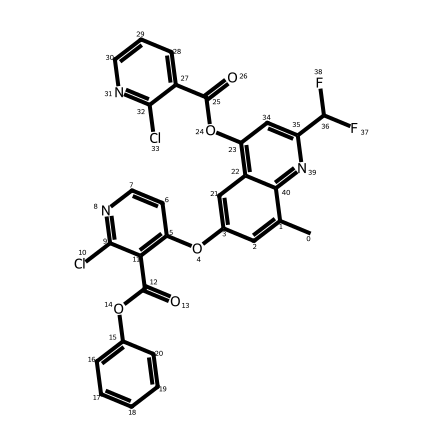 Cc1cc(Oc2ccnc(Cl)c2C(=O)Oc2ccccc2)cc2c(OC(=O)c3cccnc3Cl)cc(C(F)F)nc12